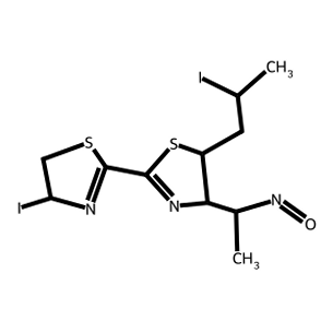 CC(I)CC1SC(C2=NC(I)CS2)=NC1C(C)N=O